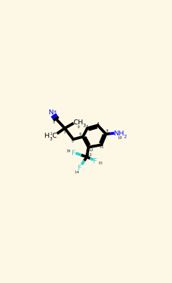 CC(C)(C#N)Cc1ccc(N)cc1C(F)(F)F